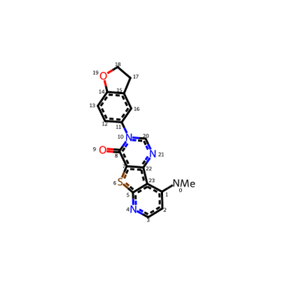 CNc1ccnc2sc3c(=O)n(-c4ccc5c(c4)CCO5)cnc3c12